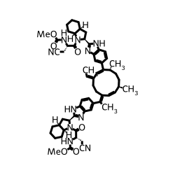 C/C=C1\C=C(\c2ccc3[nH]c([C@@H]4C[C@@H]5CCCC[C@@H]5N4C(=O)[C@H](CC#N)NC(=O)OC)nc3c2)[C@H](C)CC[C@@H](C)/C=C\C(=C(/C)c2ccc3[nH]c([C@@H]4C[C@@H]5CCCC[C@@H]5N4C(=O)[C@H](CC#N)NC(=O)OC)nc3c2)CC1